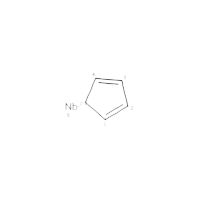 [CH]1C=CC=C1.[Nb]